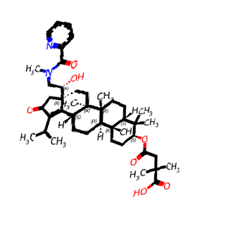 CC(C)C1=C2[C@H]3CC[C@@H]4[C@@]5(C)CC[C@H](OC(=O)CC(C)(C)C(=O)O)C(C)(C)[C@H]5CC[C@@]4(C)[C@]3(C)CC[C@@]2([C@@H](O)CN(C)C(=O)c2ccccn2)CC1=O